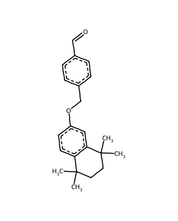 CC1(C)CCC(C)(C)c2cc(OCc3ccc(C=O)cc3)ccc21